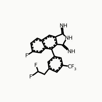 N=C1NC(=N)c2c1cc1ccc(F)cc1c2-c1cc(CC(F)F)cc(C(F)(F)F)c1